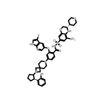 CC(C)c1ccccc1[C@H]1CCCC1N1CC2(CCN(c3ccc(C(=O)NS(=O)(=O)c4cc5c(c([N+](=O)[O-])c4)N[C@@H](C4CCOCC4)CO5)c(Oc4cnc5[nH]cc(F)c5c4)c3)CC2)C1